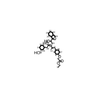 CCOC(=O)COc1ccc(C[C@@H](C)N(CC(O)c2occ3ccccc23)[C@H](O)Cc2ccccc2)cc1.Cl